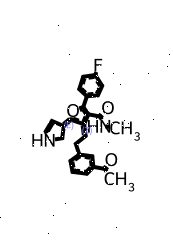 CNC(=O)c1c(-c2ccc(F)cc2)oc(=C2\C=CNC2)/c1=C\Cc1cccc(C(C)=O)c1